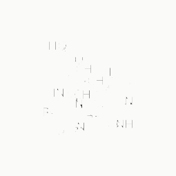 CC(C)(C)[C@@H](CC(=O)O)Nc1nc(-c2c[nH]c3ncc(F)cc23)ncc1F